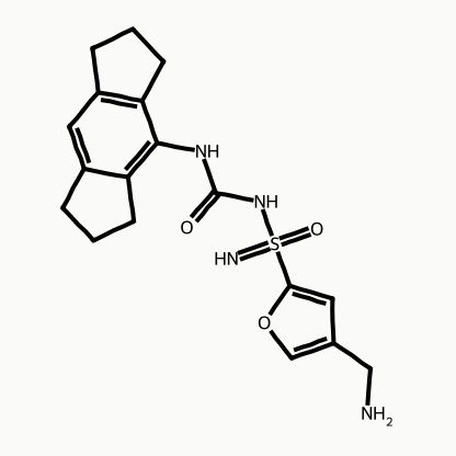 N=S(=O)(NC(=O)Nc1c2c(cc3c1CCC3)CCC2)c1cc(CN)co1